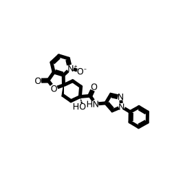 O=C1O[C@]2(CC[C@](O)(C(=O)Nc3cnn(-c4ccccc4)c3)CC2)c2c1ccc[n+]2[O-]